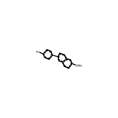 COc1ccc2cc(-c3ccc(C(C)=O)cc3)ccc2c1